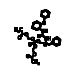 CC(=O)OCOP(=O)(OCOC(C)=O)OC[C@@H](Cc1ccccc1)NC(=O)Nc1ccccc1Oc1ccccc1